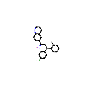 Cc1ccccc1C(CC(=NO)c1ccc2ncccc2c1)c1ccc(Br)cc1